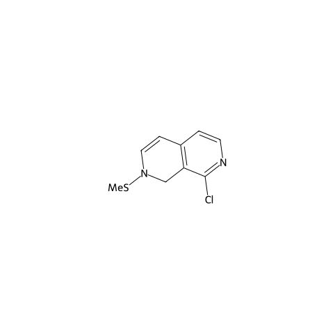 CSN1C=Cc2ccnc(Cl)c2C1